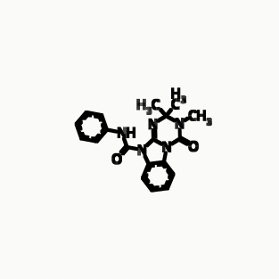 CN1C(=O)N2C(=NC1(C)C)N(C(=O)Nc1ccccc1)c1ccccc12